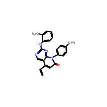 C=Cc1cc(=O)n(-c2ccc(OC)cc2)c2nc(Nc3ccccc3OC)ncc12